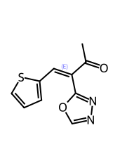 CC(=O)/C(=C/c1cccs1)c1nnco1